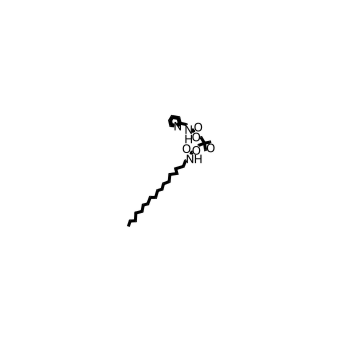 CCCCCCCCCCCCCCCCCCNC(=O)OCC1(COC(=O)NCc2ccccn2)COC1